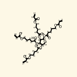 C=CC(=O)OCCCCC(=O)OC1OC[C@@H](OC(=O)CCCCOC(=O)C=C)C(OC(O)CCCCOC(=O)C=C)[C@H]1OC(=O)CCCCOC(=O)C=C